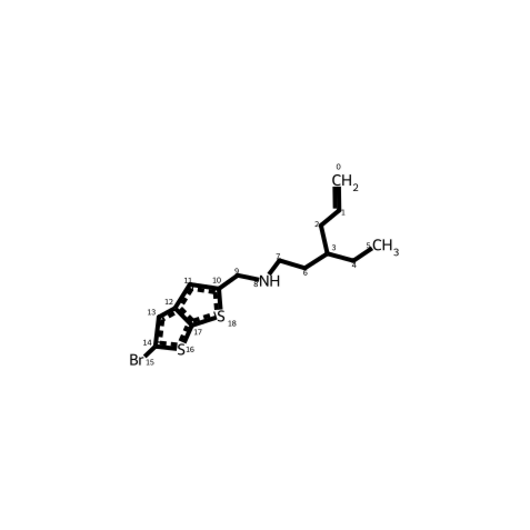 C=CCC(CC)CCNCc1cc2cc(Br)sc2s1